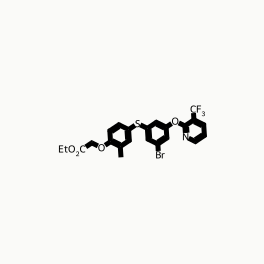 CCOC(=O)COc1ccc(Sc2cc(Br)cc(Oc3ncccc3C(F)(F)F)c2)cc1C